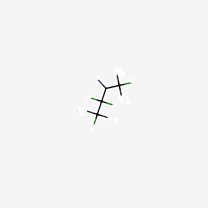 FC(F)(F)C(F)(C(I)C(F)(F)C(F)(C(F)(F)F)C(F)(F)F)C(F)(F)F